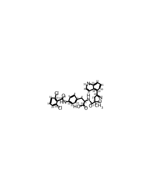 C[C@]1(C(=O)NC(Cc2ccc(NC(=O)c3c(Cl)cccc3Cl)cc2)C(=O)O)CC(c2cccc3ncccc23)=NO1